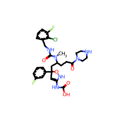 CN(C(=O)NCc1cccc(F)c1Cl)C(CCC(=O)N1CCNCC1)CC1(c2cccc(F)c2)C=C(NC(=O)O)NO1